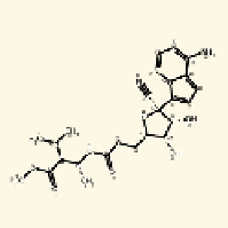 COC(=O)[C@H]([C@@H](C)OC(=O)OC[C@H]1O[C@@](C#N)(c2ccc3c(N)ncnn23)[C@H](O)[C@@H]1O)N(C)C